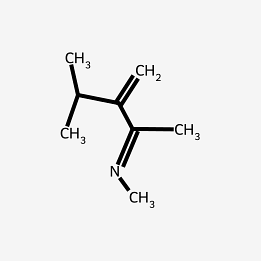 C=C(/C(C)=N/C)C(C)C